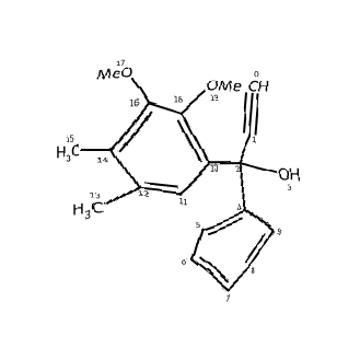 C#CC(O)(c1ccccc1)c1cc(C)c(C)c(OC)c1OC